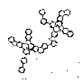 c1ccc(-c2ccc(-c3nc(-c4ccc5c(ccc6cc(-c7cccc8c7oc7cc(-c9nc(-c%10cccc(-c%11ccccc%11)c%10)nc(-c%10ccc%11c(ccc%12ccccc%12%11)c%10)n9)c(-n9c%10ccccc%10c%10cc%11ccccc%11cc%109)cc78)ccc65)c4)nc(-c4cc5oc6ccccc6c5cc4-n4c5ccccc5c5cc6ccccc6cc54)n3)cc2)cc1